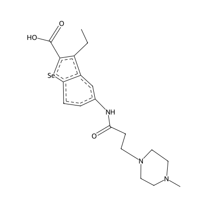 CCc1c(C(=O)O)[se]c2ccc(NC(=O)CCN3CCN(C)CC3)cc12